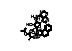 CC(C)OC(=O)[C@H](C)NP(=O)(OC[C@@]1(C(F)F)O[C@@H](n2cnc3ncnc(N)c32)[C@H](O)[C@@H]1O)Oc1ccc2ccccc2c1